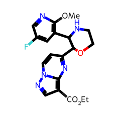 CCOC(=O)c1cnn2ccc(C3OCCNC3c3cc(F)cnc3OC)nc12